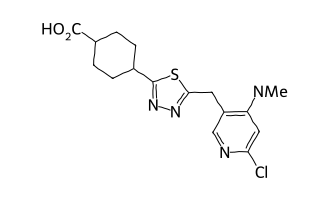 CNc1cc(Cl)ncc1Cc1nnc(C2CCC(C(=O)O)CC2)s1